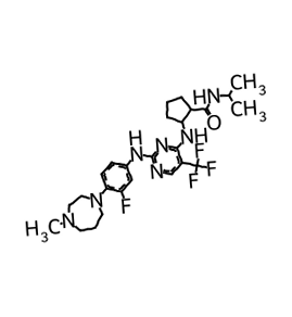 CC(C)NC(=O)C1CCCC1Nc1nc(Nc2ccc(N3CCCN(C)CC3)c(F)c2)ncc1C(F)(F)F